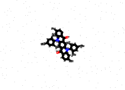 CC(C)c1ccc2c(=O)c3cc4c(cc3n(-c3c(C(C)(C)C)cc(C(C)(C)C)cc3C(C)(C)C)c2c1)c(=O)c1ccc(C(C)C)cc1n4-c1c(C(C)(C)C)cc(C(C)(C)C)cc1C(C)(C)C